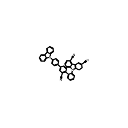 N#CC1=Cc2c(n(-c3ccccc3-c3ccc(-c4ccc(-n5c6ccccc6c6ccccc65)cc4)cc3C#N)c3cccc(C#N)c23)CC1